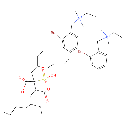 CCCCC(CC)CC(C(=O)[O-])C(CC(CC)CCCC)(C(=O)[O-])S(=O)(=O)O.CC[N+](C)(C)Cc1ccccc1Br.CC[N+](C)(C)Cc1ccccc1Br